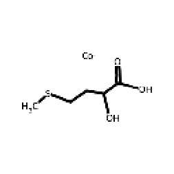 CSCCC(O)C(=O)O.[Co]